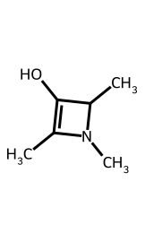 CC1=C(O)C(C)N1C